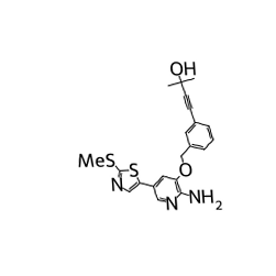 CSc1ncc(-c2cnc(N)c(OCc3cccc(C#CC(C)(C)O)c3)c2)s1